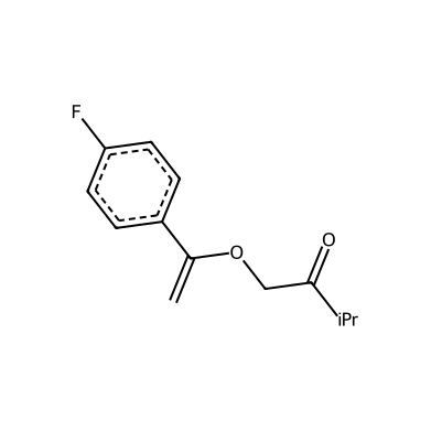 C=C(OCC(=O)C(C)C)c1ccc(F)cc1